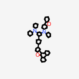 c1ccc(N(c2ccccc2)c2cc(-c3ccc(-c4ccc5oc6c7ccccc7c7ccccc7c6c5c4)cc3)cc(N(c3ccccc3)c3ccc4c(c3)oc3ccccc34)c2)cc1